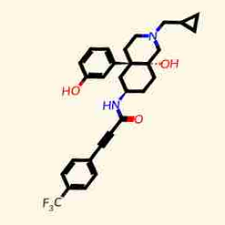 O=C(C#Cc1ccc(C(F)(F)F)cc1)N[C@@H]1CC[C@]2(O)CN(CC3CC3)CC[C@@]2(c2cccc(O)c2)C1